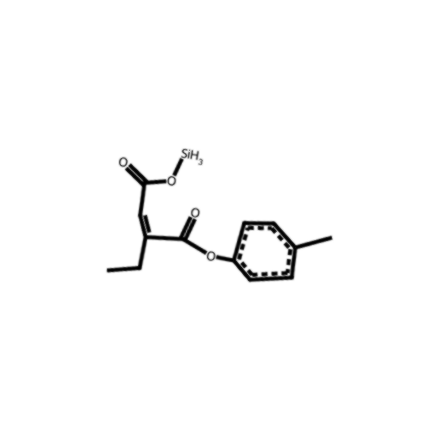 CC/C(=C/C(=O)O[SiH3])C(=O)Oc1ccc(C)cc1